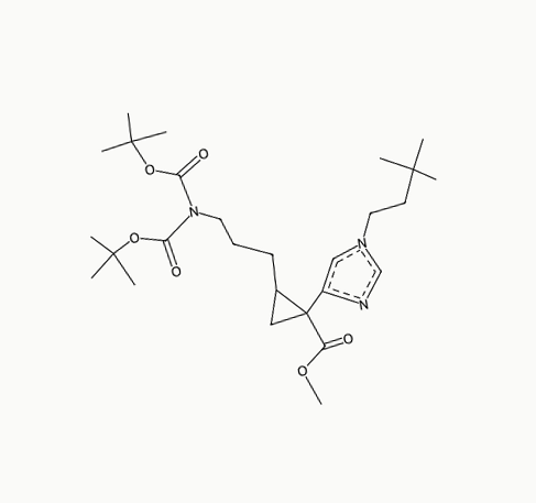 COC(=O)C1(c2cn(CCC(C)(C)C)cn2)CC1CCCN(C(=O)OC(C)(C)C)C(=O)OC(C)(C)C